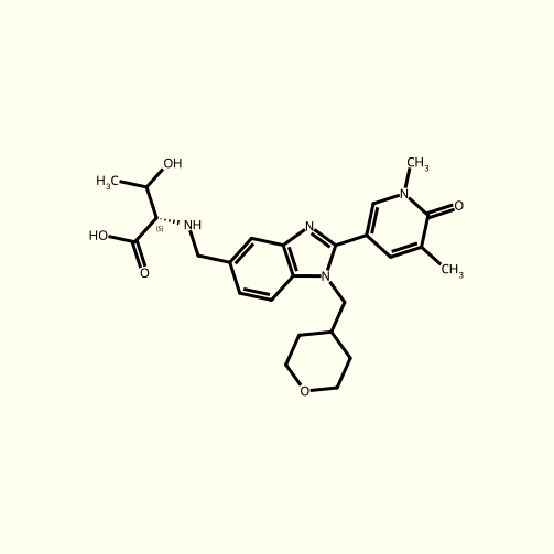 Cc1cc(-c2nc3cc(CN[C@H](C(=O)O)C(C)O)ccc3n2CC2CCOCC2)cn(C)c1=O